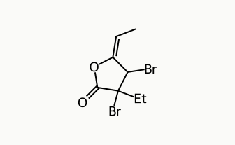 CC=C1OC(=O)C(Br)(CC)C1Br